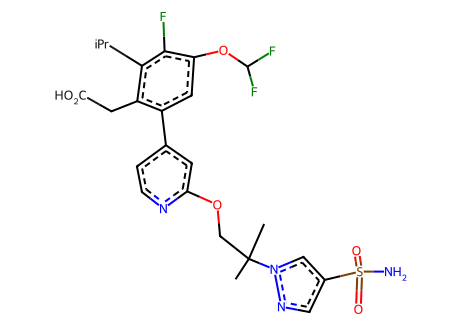 CC(C)c1c(F)c(OC(F)F)cc(-c2ccnc(OCC(C)(C)n3cc(S(N)(=O)=O)cn3)c2)c1CC(=O)O